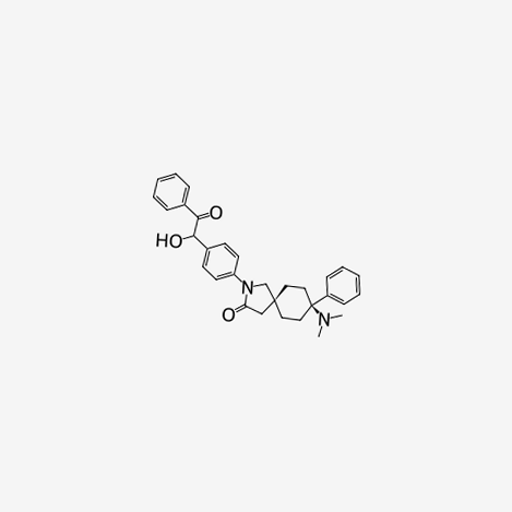 CN(C)[C@]1(c2ccccc2)CC[C@@]2(CC1)CC(=O)N(c1ccc(C(O)C(=O)c3ccccc3)cc1)C2